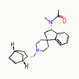 CC(=O)N(C)[C@H]1CC2(CCN(C[C@H]3C[C@H]4CC[C@@H]3C4)CC2)c2ccccc21